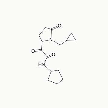 O=C(NC1CCCC1)C(=O)C1CCC(=O)N1CC1CC1